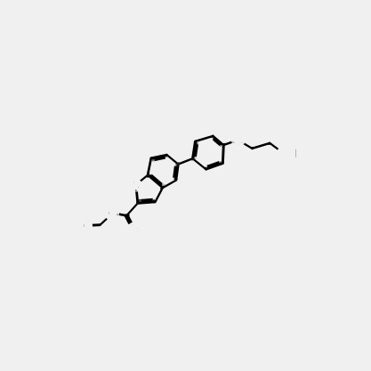 CCCOc1ccc(-c2ccc3sc(C(=O)OCC)cc3c2)cc1